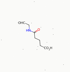 O=[C]CNC(=O)CCCC(=O)O